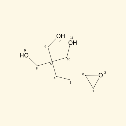 C1CO1.CCC(CO)(CO)CO